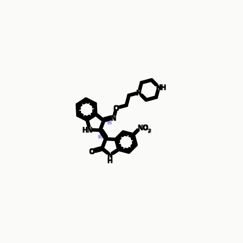 O=C1Nc2ccc([N+](=O)[O-])cc2/C1=C1/Nc2ccccc2/C1=N\OCCN1CCNCC1